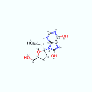 C#CC[C@@]1(n2cnc3c(O)ncnc32)O[C@H](CO)C[C@H]1O